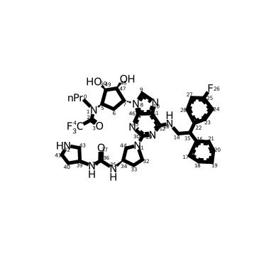 CCCN(C(=O)C(F)(F)F)[C@H]1C[C@@H](n2cnc3c(NCC(c4ccccc4)c4ccc(F)cc4)nc(N4CC[C@@H](NC(=O)NC5CCNC5)C4)nc32)[C@H](O)[C@@H]1O